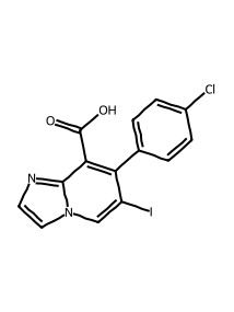 O=C(O)c1c(-c2ccc(Cl)cc2)c(I)cn2ccnc12